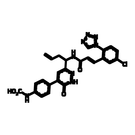 C=CCC(NC(=O)C=Cc1cc(Cl)ccc1-n1cnnn1)c1cc(-c2ccc(NC(=O)O)cc2)c(=O)[nH]n1